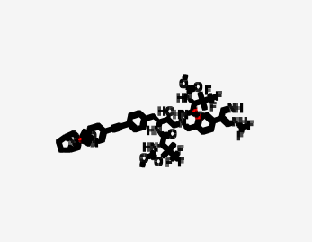 COC(=O)N[C@H](C(=O)N[C@@H](Cc1ccc(C#Cc2ccc(N3CC4CCC(C3)N4C3COC3)nc2)cc1)[C@@H](O)CN(Cc1ccc(/C(C=N)=C/NC(F)F)cc1F)NC(=O)[C@@H](NC(=O)OC)C(C)(C)C(F)(F)F)C(C)(C)C(F)(F)F